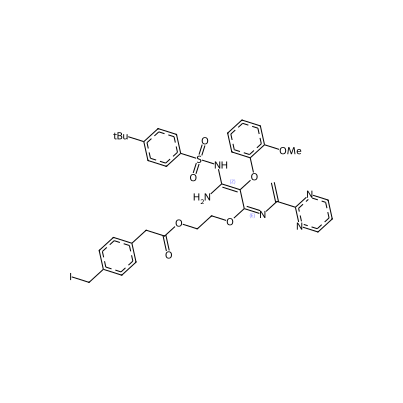 C=C(/N=C(OCCOC(=O)Cc1ccc(CI)cc1)\C(Oc1ccccc1OC)=C(/N)NS(=O)(=O)c1ccc(C(C)(C)C)cc1)c1ncccn1